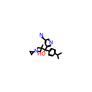 CC(C)c1ccc([C@](O)(c2cncc(C#N)c2)C2(C)CN(C3CC3)C2)cc1